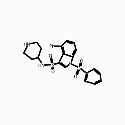 CC(C)c1cccc2c1c(S(=O)(=O)NC1CCNCC1)cn2S(=O)(=O)c1ccccc1